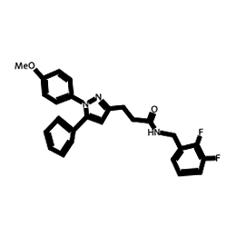 COc1ccc(-n2nc(CCC(=O)NCc3cccc(F)c3F)cc2-c2ccccc2)cc1